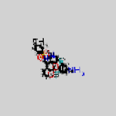 Cc1ccc(S(=O)(=O)n2cc(C3CCCOC3C)c3c(Oc4c(F)cc(N)cc4F)ccnc32)cc1